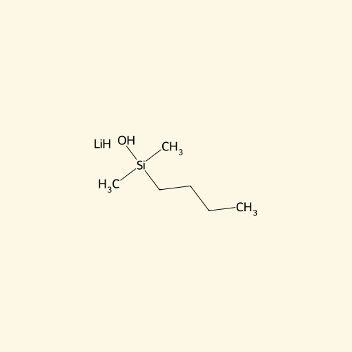 CCCC[Si](C)(C)O.[LiH]